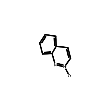 [O-][n+]1ccc2ccccc2n1